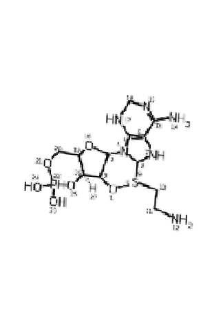 CO[C@@H]1[C@H](N2C3=C(NC2SCCN)C(N)=NCN3)OC2CO[PH](O)(O)O[C@@H]21